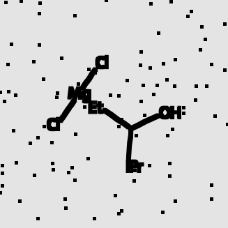 [CH2]CC(O)C(C)C.[Cl][Mg][Cl]